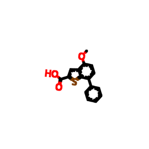 COc1ccc(-c2ccccc2)c2sc(C(=O)O)cc12